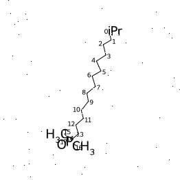 CC(C)CCCCCCCCCCCCCP(C)(C)=O